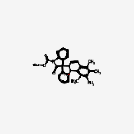 Cc1c(C)c(C)c2c(c1C)C=CC(C1(c3ccccc3)C(=O)N(C(=O)OC(C)(C)C)c3ccccc31)C2O